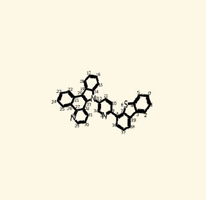 c1ccc2c(c1)sc1c(-c3ccc(-n4c5ccccc5c5c6ccccc6c6ncccc6c54)cn3)cccc12